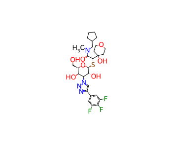 CN(CC1CCCC1)C(=O)[C@@H](S[C@@H]1O[C@H](CO)[C@H](O)[C@H](n2cc(-c3cc(F)c(F)c(F)c3)nn2)[C@H]1O)C1(O)CCOCC1